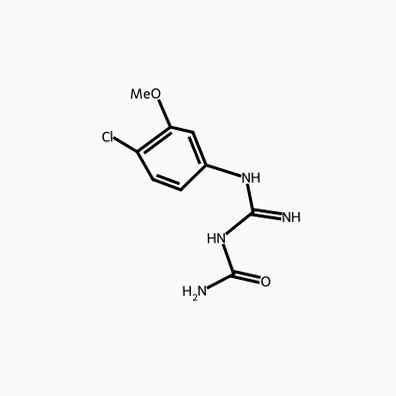 COc1cc(NC(=N)NC(N)=O)ccc1Cl